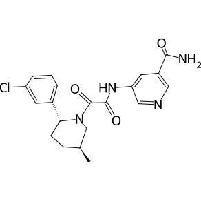 C[C@H]1CC[C@H](c2cccc(Cl)c2)N(C(=O)C(=O)Nc2cncc(C(N)=O)c2)C1